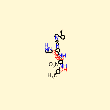 CC1CCC(O)(CNc2ccc(S(=O)(=O)NC(=O)c3ccc(N4CC5(CC(N6CCCC6c6ccccc6C6CC6)C5)C4)cc3Oc3cnc4[nH]ccc4c3)cc2[N+](=O)[O-])CC1